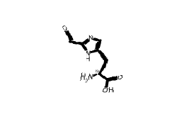 N[C@@H](Cc1cnc(C=O)[nH]1)C(=O)O